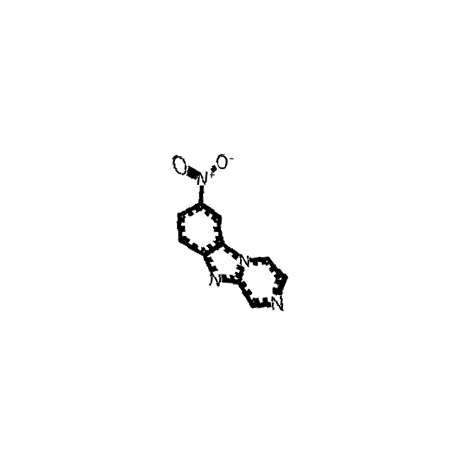 O=[N+]([O-])c1ccc2nc3cnccn3c2c1